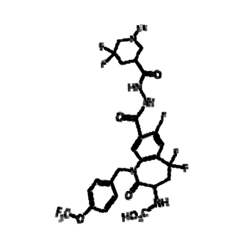 CCN1CC(C(=O)NNC(=O)c2cc3c(cc2F)C(F)(F)CC(NC(=O)O)C(=O)N3Cc2ccc(OC(F)(F)F)cc2)CC(F)(F)C1